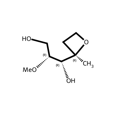 CO[C@H](CO)[C@@H](O)[C@@]1(C)CCO1